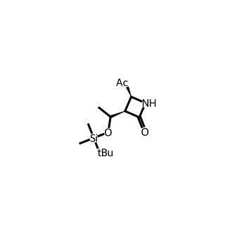 CC(=O)[C@H]1NC(=O)[C@H]1C(C)O[Si](C)(C)C(C)(C)C